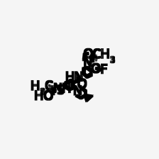 C[C@@H]1CN(c2cc(NC(=O)c3ccc(SN[C@@H](C)CO)cc3N3CCC4(CC3)CC4)ccc2OCF)CCO1